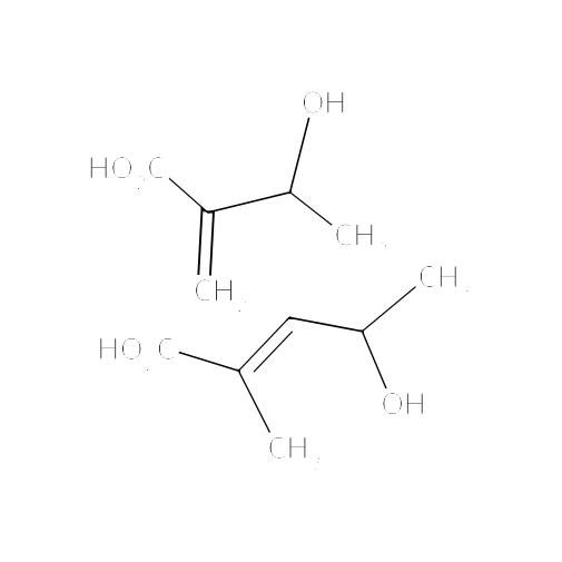 C=C(C(=O)O)C(C)O.CC(=CC(C)O)C(=O)O